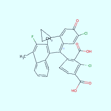 Cc1c(F)c(C)c2ccccc2c1/C(=C1/C=C(Cl)C(=O)C=C1C1CC1)c1ccc(C(=O)O)c(Cl)c1C(=O)O